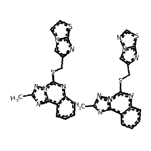 Cc1nc2c3ccccc3nc(SCc3cn4ccsc4n3)n2n1.Cc1nc2c3ccccc3nc(SCc3cn4ncsc4n3)n2n1